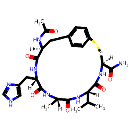 CC(=O)N[C@H]1Cc2ccc(cc2)SC[C@@H](C(N)=O)NC(=O)[C@H](C(C)C)NC(=O)[C@H](C)NC(=O)[C@H](Cc2c[nH]cn2)NC1=O